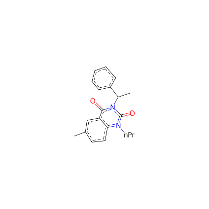 CCCn1c(=O)n(C(C)c2ccccc2)c(=O)c2cc(C)ccc21